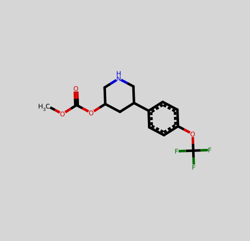 COC(=O)OC1CNCC(c2ccc(OC(F)(F)F)cc2)C1